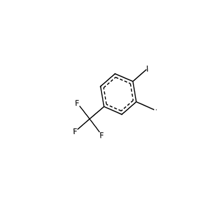 [CH2]c1cc(C(F)(F)F)ccc1I